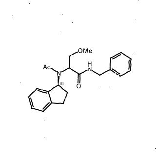 COCC(C(=O)NCc1ccccc1)N(C(C)=O)[C@H]1CCc2ccccc21